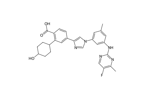 Cc1cc(Nc2ncc(F)c(C)n2)cc(-n2cnc(-c3ccc(C(=O)O)c(C4CCC(O)CC4)c3)c2)c1